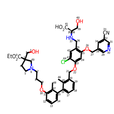 CCOC(=O)C1(CO)CCN(CCCOc2cccc(-c3cccc(COc4cc(OCc5cncc(C#N)c5)c(CN[C@H](CO)C(=O)O)cc4Cl)c3C)c2C)C1